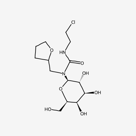 O=C(NCCCl)N(CC1CCCO1)[C@@H]1O[C@H](CO)[C@H](O)[C@H](O)[C@H]1O